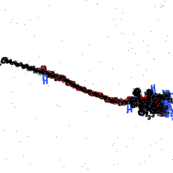 CCCCCCCCCCCCCCCC(=O)NCCOCCOCCOCCOCCOCCOCCOCCOCCOCCOCCOCCOCCC(=O)NC(C)(C)C(=O)N[C@@H](Cc1ccccc1)C(=O)N[C@@H](CC(C)C)C(=O)N[C@@H](Cc1ccccc1)C(=O)N[C@@H](CCCNC(=N)N)C(=O)N1CCC[C@H]1C(=O)N[C@@H](CCCNC(=N)N)C(=O)N[C@@H](CC(N)=O)C(N)=O